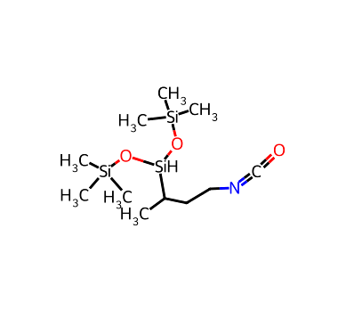 CC(CCN=C=O)[SiH](O[Si](C)(C)C)O[Si](C)(C)C